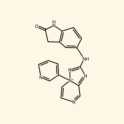 O=C1Cc2cc(NC3=N[N+]4(c5cccnc5)C=CN=CC4=N3)ccc2N1